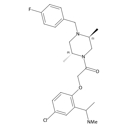 CNC(C)c1cc(Cl)ccc1OCC(=O)N1C[C@H](C)N(Cc2ccc(F)cc2)C[C@H]1C